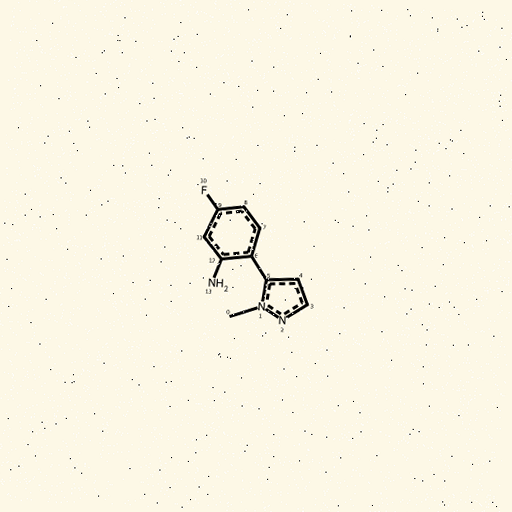 Cn1nccc1-c1ccc(F)cc1N